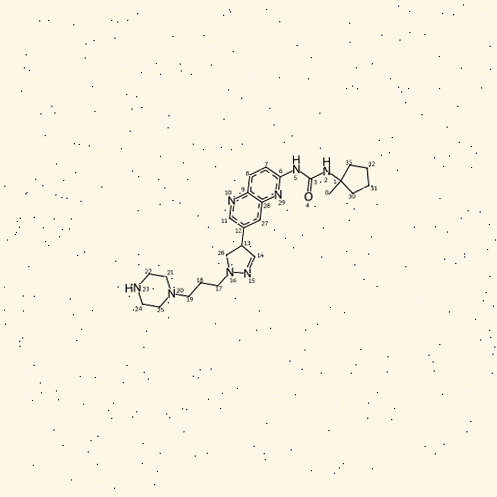 CC1(NC(=O)Nc2ccc3ncc(C4C=NN(CCCN5CCNCC5)C4)cc3n2)CCCC1